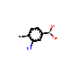 CC(C)(C)c1ccc(B(O)O)cc1N